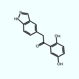 O=C(Cc1ccc2[nH]ncc2c1)c1cc(O)ccc1O